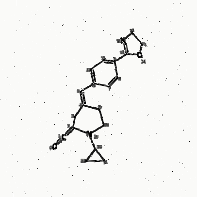 O=C=C1CC(=Cc2ccc(C3=NCCO3)cc2)CCN1C1CC1